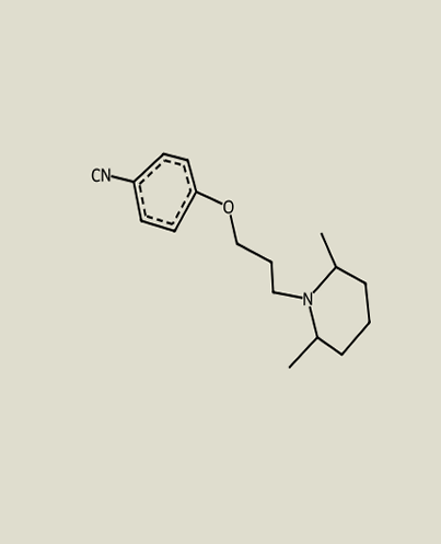 [C-]#[N+]c1ccc(OCCCN2C(C)CCCC2C)cc1